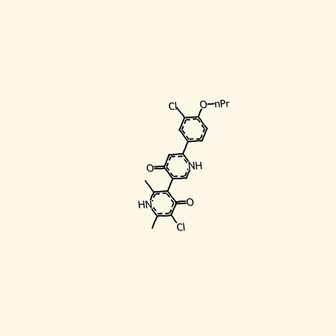 CCCOc1ccc(-c2cc(=O)c(-c3c(C)[nH]c(C)c(Cl)c3=O)c[nH]2)cc1Cl